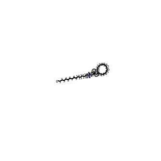 CCCCCCCCCCCCCCC/N=N/CC(=O)OC1CCCCCCCCCCCC1